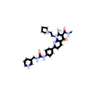 CNC(=O)c1c(N)n(CCN2CCCC2)c2nc(-c3ccc(NC(=O)NCc4cccnc4)cc3)ccc2c1=O